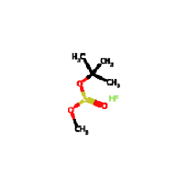 COS(=O)OC(C)(C)C.F